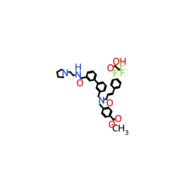 COC(=O)c1ccc(CN(Cc2cccc(-c3cccc(C(=O)NCCN4CCCC4)c3)c2)C(=O)C=Cc2ccccc2)cc1.O=C(O)C(F)(F)F